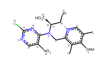 COc1c(C)cnc(CN(c2nc(Cl)ncc2[N+](=O)[O-])[C@H](CC(C)C)C(=O)O)c1C